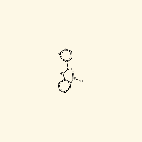 O=[N+]([O-])c1ccccc1NNc1ccccc1